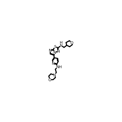 c1cc(NCCN2CCOCC2)ncc1-c1cnc2sc(NCC3CCOCC3)nn12